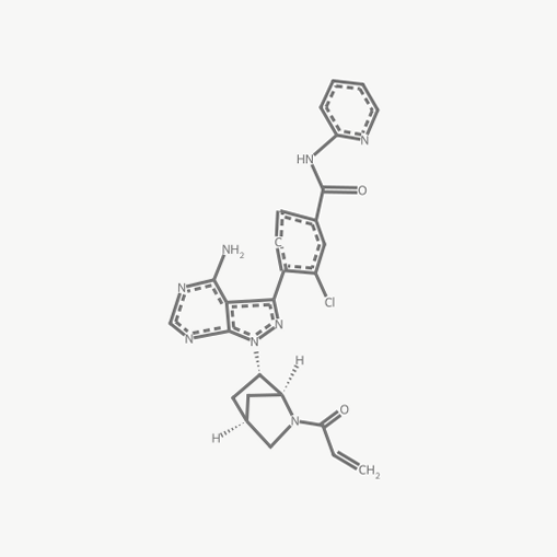 C=CC(=O)N1C[C@@H]2C[C@H]1[C@@H](n1nc(-c3ccc(C(=O)Nc4ccccn4)cc3Cl)c3c(N)ncnc31)C2